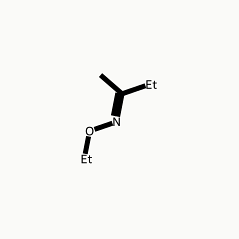 [CH2]CC(C)=NOCC